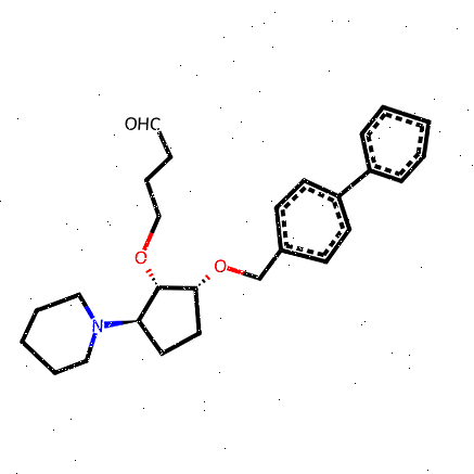 O=CCCCO[C@H]1[C@H](N2CCCCC2)CC[C@H]1OCc1ccc(-c2ccccc2)cc1